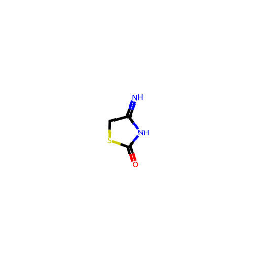 N=C1CSC(=O)N1